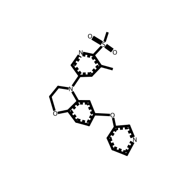 Cc1cc(N2CCOc3ccc(Oc4cccnc4)cc32)cnc1S(C)(=O)=O